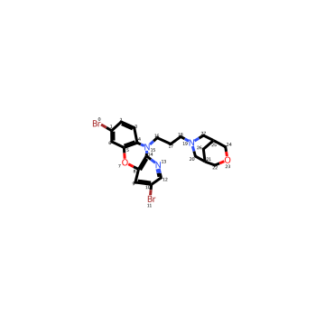 Brc1ccc2c(c1)Oc1cc(Br)cnc1N2CCCN1CC2COCC(C2)C1